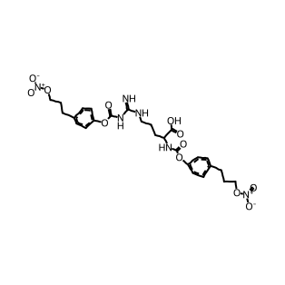 N=C(NCCCC(NC(=O)Oc1ccc(CCCO[N+](=O)[O-])cc1)C(=O)O)NC(=O)Oc1ccc(CCCO[N+](=O)[O-])cc1